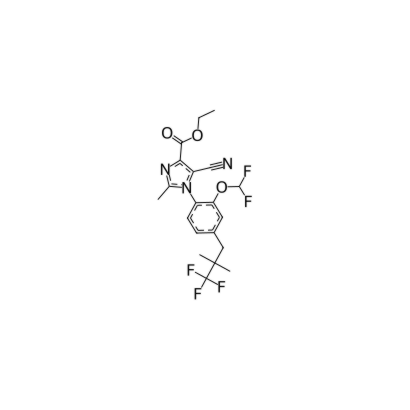 CCOC(=O)c1nc(C)n(-c2ccc(CC(C)(C)C(F)(F)F)cc2OC(F)F)c1C#N